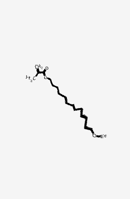 C=C(C)C(=O)OCCCCCCCCCCCCCOCC